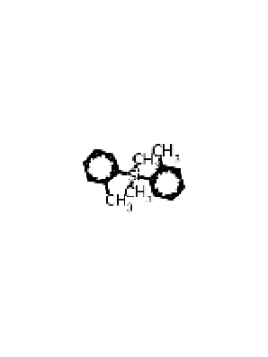 Cc1ccccc1[Si](C)(C)c1ccccc1C